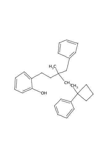 CC(C)(CCc1ccccc1O)Cc1ccccc1.CC1(c2ccccc2)CCC1